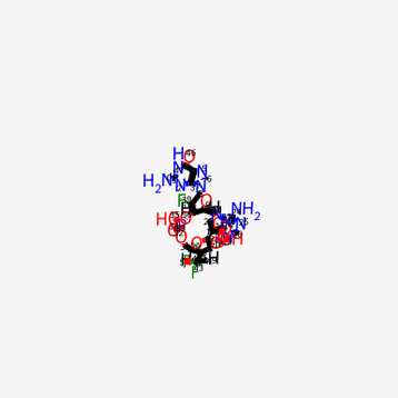 Nc1nc2c(ncn2[C@@H]2O[C@@H]3COP(=O)(O)O[C@H]4[C@H](c5cnn6c(N)ncnc56)O[C@H](COP(=O)(O)O[C@H]3[C@H]2F)[C@@]42CC2(F)F)c(=O)[nH]1